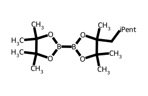 CCCC(C)CC1(C)OB(B2OC(C)(C)C(C)(C)O2)OC1(C)C